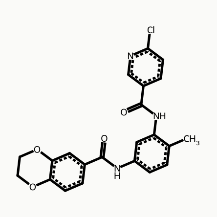 Cc1ccc(NC(=O)c2ccc3c(c2)OCCO3)cc1NC(=O)c1ccc(Cl)nc1